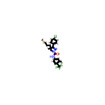 CSCCCC1(C)CN(C(=O)Nc2ccc(C(F)(F)F)c(C)c2)N=C1c1ccc(Cl)cc1